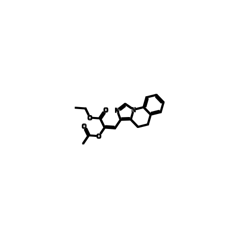 CCOC(=O)/C(=C\c1ncn2c1CCc1ccccc1-2)OC(C)=O